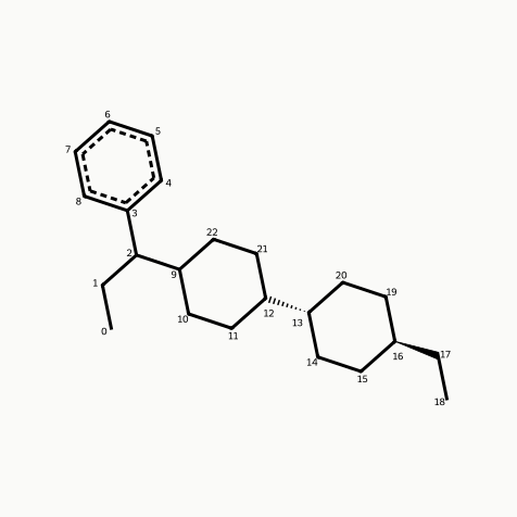 CCC(c1ccccc1)C1CCC([C@H]2CC[C@H](CC)CC2)CC1